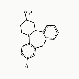 O=C(O)C1CCN2c3ccc(Cl)cc3Oc3ccccc3C2C1